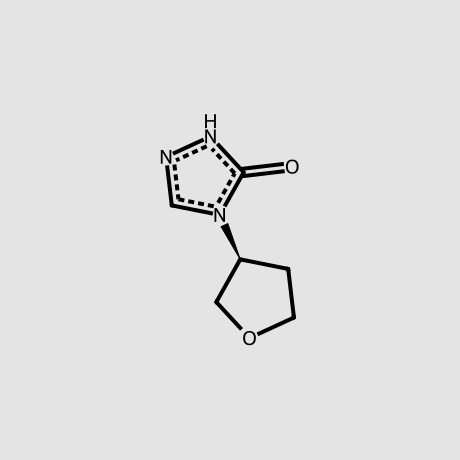 O=c1[nH]ncn1[C@H]1CCOC1